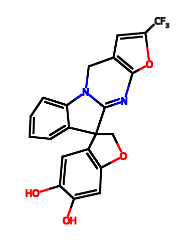 Oc1cc2c(cc1O)C1(CO2)C2=Nc3oc(C(F)(F)F)cc3CN2c2ccccc21